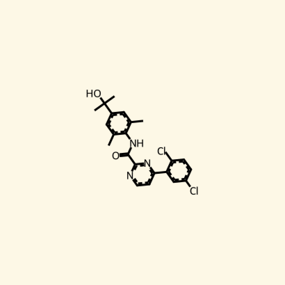 Cc1cc(C(C)(C)O)cc(C)c1NC(=O)c1nccc(-c2cc(Cl)ccc2Cl)n1